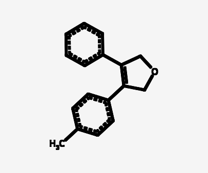 Cc1ccc(C2=C(c3ccccc3)COC2)cc1